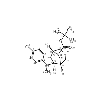 CN(c1ccc(Cl)nn1)[C@H]1C[C@@H]2COCC1(F)CN2C(=O)OC(C)(C)C